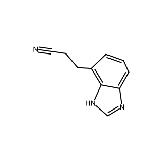 N#CCCc1cccc2nc[nH]c12